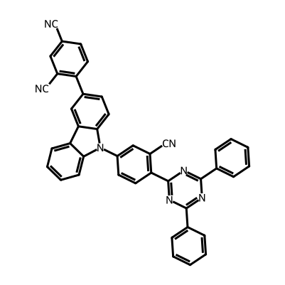 N#Cc1ccc(-c2ccc3c(c2)c2ccccc2n3-c2ccc(-c3nc(-c4ccccc4)nc(-c4ccccc4)n3)c(C#N)c2)c(C#N)c1